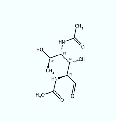 CC(=O)N[C@H]([C@H](O)[C@@H](C=O)NC(C)=O)[C@@H](C)O